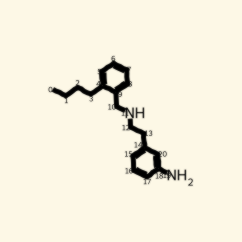 CCCCc1ccccc1CNCCc1cccc(N)c1